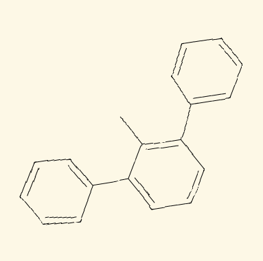 Cc1c(-c2ccccc2)cccc1-c1ccccc1